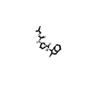 CC(C)COC(=O)N[C@@H]1CCN(C(=O)NC2C(C)CC3CCCC2C3)C1